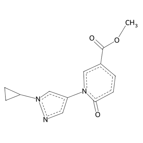 COC(=O)c1ccc(=O)n(-c2cnn(C3CC3)c2)c1